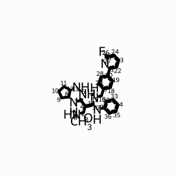 CNC(=O)/C(C(=N)N[C@H]1CCC[C@H]1N)=C(/NCc1ccc(-c2cccc(F)n2)cc1)Nc1ccccc1